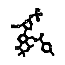 COc1cc(OS(=O)(=O)C(C)C)ccc1-c1ccc2c(c1COC(=O)c1ccc(C)cc1)C(C)=CC(C)(C)N2